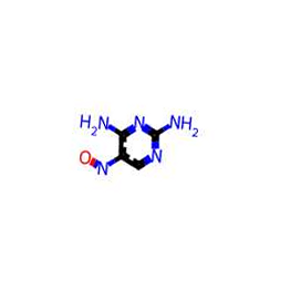 Nc1ncc(N=O)c(N)n1